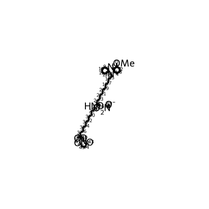 COc1cccc2c1nc1ccccc1[n+]2CCCCCCCCCCC(=O)NCCCCCCCCCCC(=O)ON1C(=O)CCC1=O.O=[N+]([O-])[O-]